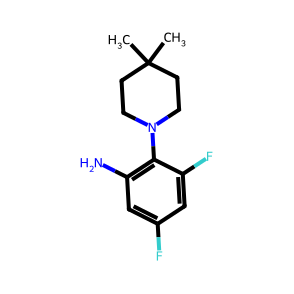 CC1(C)CCN(c2c(N)cc(F)cc2F)CC1